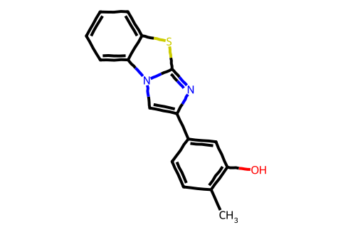 Cc1ccc(-c2cn3c(n2)sc2ccccc23)cc1O